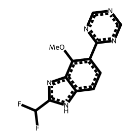 COc1c(-c2ncncn2)ccc2[nH]c(C(F)F)nc12